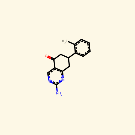 Cc1ccccc1C1CC(=O)c2cnc(N)nc2C1